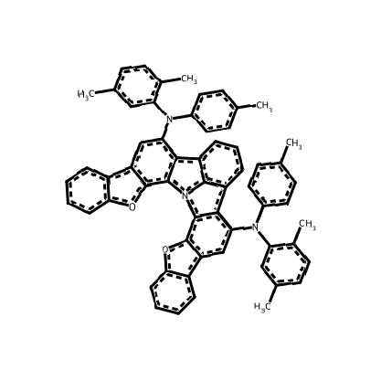 Cc1ccc(N(c2cc(C)ccc2C)c2cc3c4ccccc4oc3c3c2c2cccc4c5c(N(c6ccc(C)cc6)c6cc(C)ccc6C)cc6c7ccccc7oc6c5n3c24)cc1